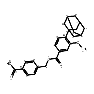 COc1cc(C(=O)OCc2ccc(C(=O)O)cc2)ccc1C12CC3CC(CC(C3)C1)C2